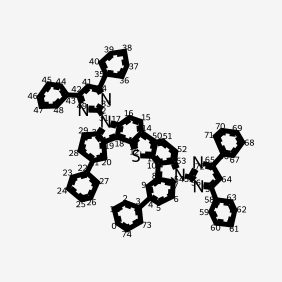 c1ccc(-c2ccc3c(c2)c2c4sc5c(ccc6c5c5cc(-c7ccccc7)ccc5n6-c5nc(-c6ccccc6)cc(-c6ccccc6)n5)c4ccc2n3-c2nc(-c3ccccc3)cc(-c3ccccc3)n2)cc1